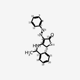 CC(NC1=C(N=Nc2ccccc2)C(=O)SC1)c1ccccc1